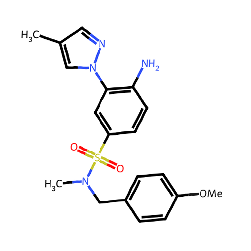 COc1ccc(CN(C)S(=O)(=O)c2ccc(N)c(-n3cc(C)cn3)c2)cc1